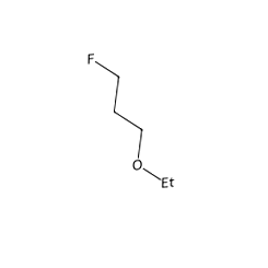 [CH2]COCCCF